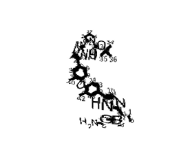 CC[C@H](B(C)OCN)c1ncc(-c2ccc(Oc3ccc(-c4cnc([C@@H]5CCCN5C(=O)OC(C)(C)C)[nH]4)cc3C)c(C)c2)[nH]1